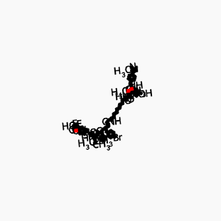 CC1=C(c2ccc(CNC(=O)[C@@H]3C[C@@H](O)CN3C(=O)[C@@H](NC(=O)CCCCCCCCCNC(=O)CCN(C(=O)[C@@H]3CCCN3C(=O)[C@@H](NC(=O)c3cc4cc(C(F)(F)P(=O)(O)O)ccc4s3)C(C)(C)C)c3ccc(Br)cc3)C(C)(C)C)cc2)CC=N1